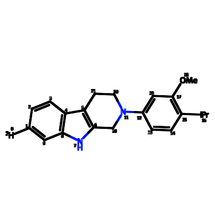 [2H]c1ccc2c3c([nH]c2c1)CN(c1ccc(C(C)C)c(OC)c1)CC3